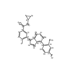 Cc1ccc(C(=O)[N]C2CC2)cc1-n1cnc2c(-c3ccc(F)cc3F)ncnc21